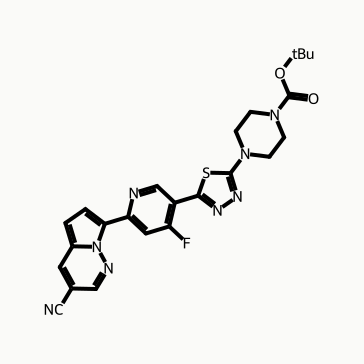 CC(C)(C)OC(=O)N1CCN(c2nnc(-c3cnc(-c4ccc5cc(C#N)cnn45)cc3F)s2)CC1